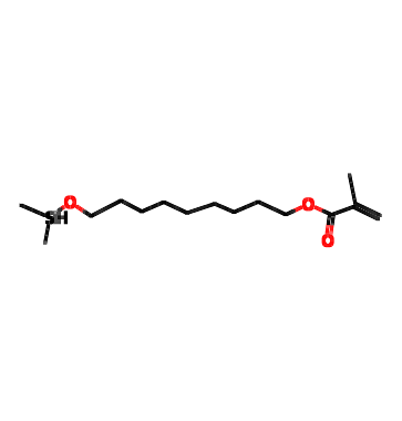 C=C(C)C(=O)OCCCCCCCCCO[SiH](C)C